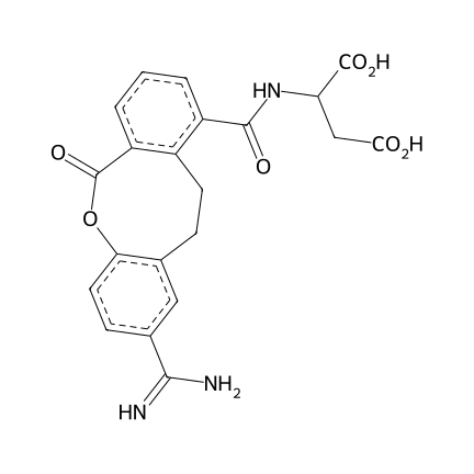 N=C(N)c1ccc2c(c1)CCc1c(C(=O)NC(CC(=O)O)C(=O)O)cccc1C(=O)O2